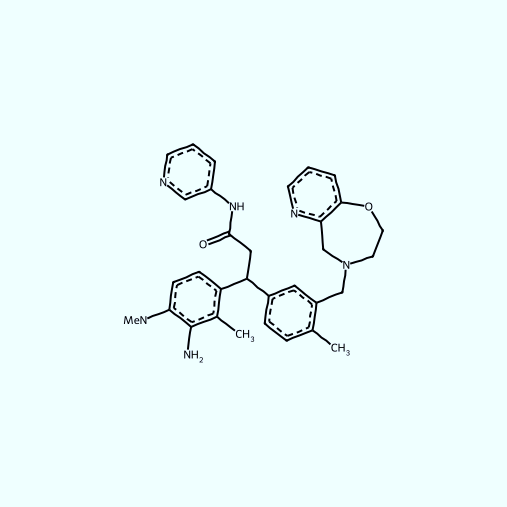 CNc1ccc(C(CC(=O)Nc2cccnc2)c2ccc(C)c(CN3CCOc4cccnc4C3)c2)c(C)c1N